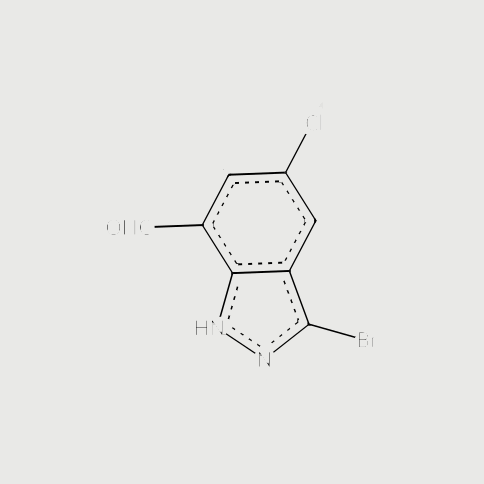 O=Cc1cc(Cl)cc2c(Br)n[nH]c12